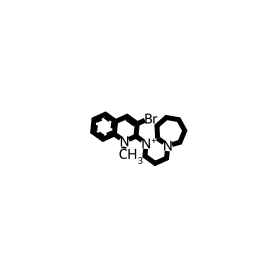 CN1c2ccccc2C=C(Br)C1[N+]1=C2CCCCCN2CCC1